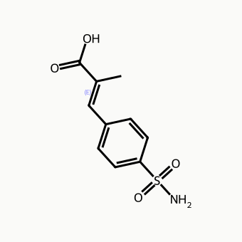 C/C(=C\c1ccc(S(N)(=O)=O)cc1)C(=O)O